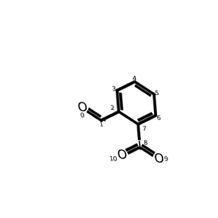 O=[C]c1ccccc1I(=O)=O